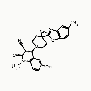 Cc1ccc2oc(C3(C)CCN(c4c(C#N)c(=O)n(C)c5ccc(O)cc45)CC3)nc2c1